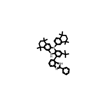 CC(C)(C)c1cc(-c2cccc3nc(-c4ccccc4)[nH]c23)c2c(c1)N(c1ccc3c(c1)C(C)(C)CCC3(C)C)c1cc3c(cc1B2)C(C)(C)CCC3(C)C